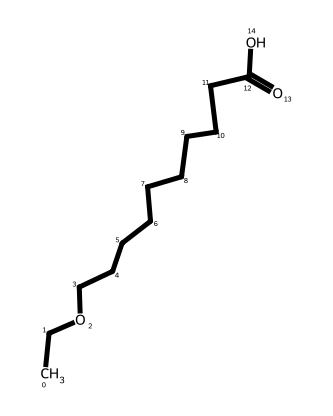 CCOCCCCCCCCCC(=O)O